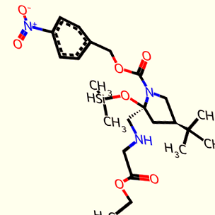 CCOC(=O)CNC[C@@]1(O[SiH](C)C)C[C@H](C(C)(C)C)CN1C(=O)OCc1ccc([N+](=O)[O-])cc1